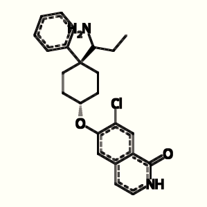 CCC(N)[C@]1(c2ccccc2)CC[C@@H](Oc2cc3cc[nH]c(=O)c3cc2Cl)CC1